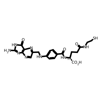 Nc1nc2ncc(CNc3ccc(C(=O)N[C@@H](CCC(=O)NCCS)C(=O)O)cc3)nc2c(=O)[nH]1